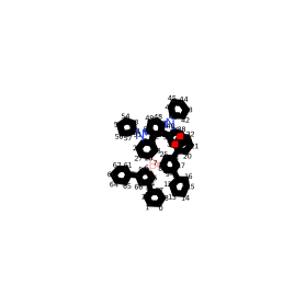 c1ccc(-c2cc(B(c3cc(-c4ccccc4)cc(-c4ccccc4)c3)c3ccc4c(c3)c3c5c6ccccc6n(-c6ccccc6)c5ccc3n4-c3ccccc3)cc(-c3ccccc3)c2)cc1